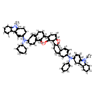 CCn1c2ccccc2c2cc(N(c3ccccc3)c3ccc4c(ccc5c6ccc7oc8c9ccc(N(c%10ccccc%10)c%10ccc%11c(c%10)c%10ccccc%10n%11CC)cc9ccc8c7c6oc45)c3)ccc21